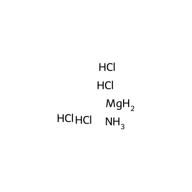 Cl.Cl.Cl.Cl.N.[MgH2]